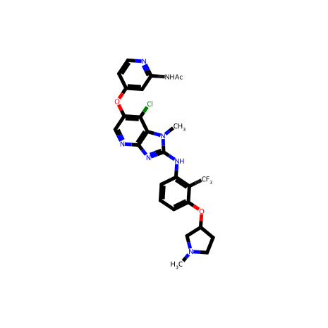 CC(=O)Nc1cc(Oc2cnc3nc(Nc4cccc(OC5CCN(C)C5)c4C(F)(F)F)n(C)c3c2Cl)ccn1